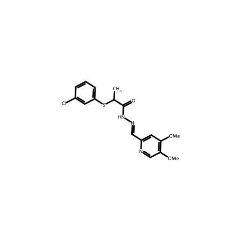 COc1cnc(C=NNC(=O)C(C)Sc2cccc(Cl)c2)cc1OC